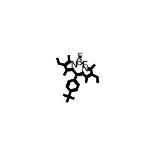 CCC1=C(C)/C(=C(\c2ccc(C(C)(C)C)cc2)c2c(C)c(CC)c(C)n2B(F)F)N=C1C